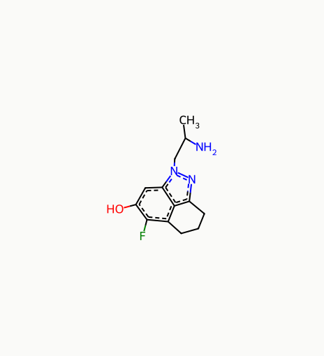 CC(N)Cn1nc2c3c(c(F)c(O)cc31)CCC2